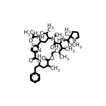 CCOC(=O)C(C)CC(Cc1ccccc1)NC(=O)c1csc(C(CC(C(C)C)N(C)C(=O)C(NC(=O)[C@@]2(C)CCCN2C)C(C)CC)NC(C)=O)n1